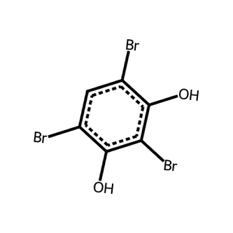 Oc1c(Br)cc(Br)c(O)c1Br